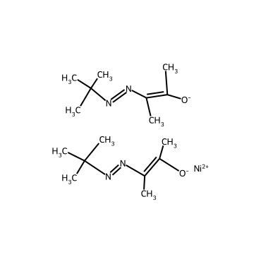 CC([O-])=C(C)N=NC(C)(C)C.CC([O-])=C(C)N=NC(C)(C)C.[Ni+2]